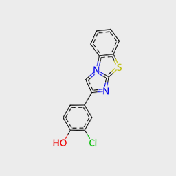 Oc1ccc(-c2cn3c(n2)sc2ccccc23)cc1Cl